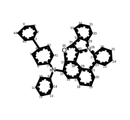 c1ccc(-c2ccc(N(c3ccccc3)c3cc4cccc5c6ccccc6n6c7ccccc7c7oc3c(c45)c76)cc2)cc1